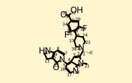 C[C@H](c1cc2c(-n3ccc4c(c3=O)CCN4)ccnc2n1C)N1CCC(c2c(F)cc(C(=O)O)cc2F)CC1